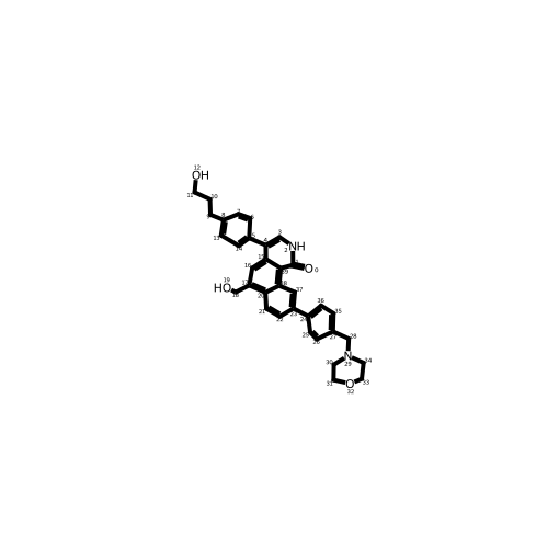 O=c1[nH]cc(-c2ccc(CCCO)cc2)c2cc(CO)c3ccc(-c4ccc(CN5CCOCC5)cc4)cc3c12